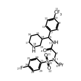 CC(C)N(CC(=O)NC(c1ccc(C(F)(F)F)cc1)C1CCCNC1)S(=O)(=O)c1ccc(F)cc1